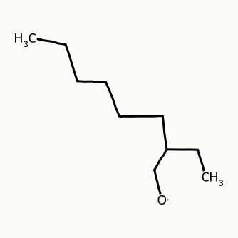 CCCCCCC(CC)C[O]